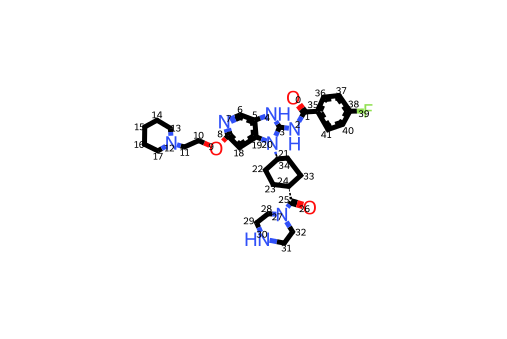 O=C(NC1Nc2cnc(OCCN3CCCCC3)cc2N1[C@H]1CC[C@@H](C(=O)N2CCNCC2)CC1)c1ccc(F)cc1